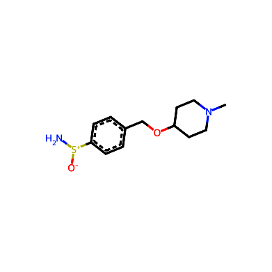 CN1CCC(OCc2ccc([S+](N)[O-])cc2)CC1